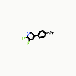 CCCc1ccc(-c2cnc(F)c(F)c2)cc1